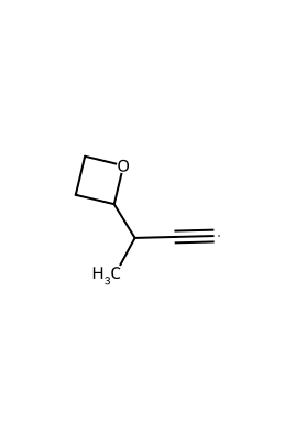 [C]#CC(C)C1CCO1